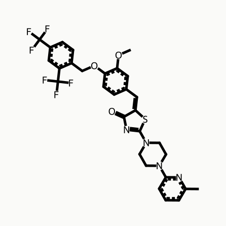 COc1cc(C=C2SC(N3CCN(c4cccc(C)n4)CC3)=NC2=O)ccc1OCc1ccc(C(F)(F)F)cc1C(F)(F)F